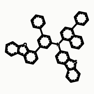 c1ccc(-c2cc(-c3cccc4c3oc3ccccc34)cc(N(c3ccc4c(c3)sc3ccccc34)c3ccc(-c4ccccc4)c4ccccc34)c2)cc1